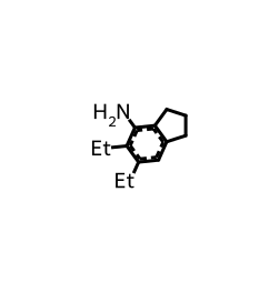 CCc1cc2c(c(N)c1CC)CCC2